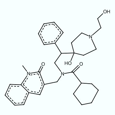 Cn1c(=O)c(CN(CC(c2ccccc2)C2(O)CCN(CCO)CC2)C(=O)C2CCCCC2)cc2ccccc21